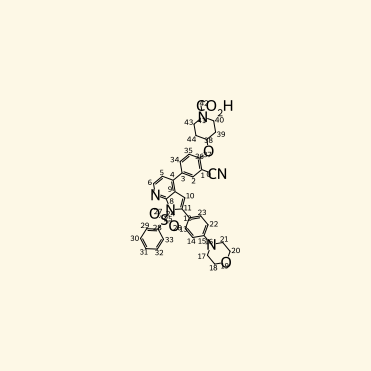 N#Cc1cc(-c2ccnc3c2cc(-c2ccc(N4CCOCC4)cc2)n3S(=O)(=O)c2ccccc2)ccc1OC1CCN(C(=O)O)CC1